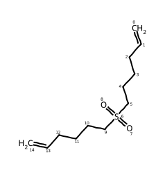 C=CCCCCS(=O)(=O)CCCCC=C